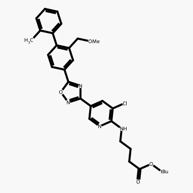 COCc1cc(-c2nc(-c3cnc(NCCCC(=O)OC(C)(C)C)c(Cl)c3)no2)ccc1-c1ccccc1C